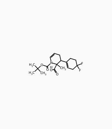 CC(C)(C)OC(=O)N1C=CCC(C2=CCC(F)(F)CC2)C1(C)C(=O)O